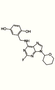 Oc1ccc(O)c(CNc2nc(F)nc3c2ncn3C2CCCCO2)c1